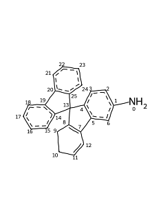 Nc1ccc2c(c1)C1=C(CCC=C1)C21c2ccccc2-c2ccccc21